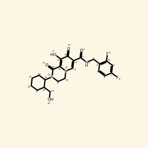 O=C(NCc1ccc(F)cc1F)c1cn2c(c(O)c1=O)C(=O)N(C1CCCCC1CO)CC2